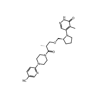 Cc1c(N2CCC[C@H]2COC[C@@H](C)C(=O)N2CCN(c3ccc(C#N)cn3)CC2)cn[nH]c1=O